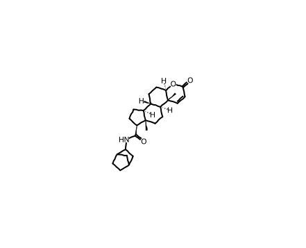 C[C@]12C=CC(=O)O[C@@H]1CC[C@@H]1[C@@H]2CC[C@]2(C)[C@@H](C(=O)NC3CC4CCC3C4)CC[C@@H]12